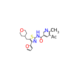 CC(=O)c1cc(C(=O)Nc2nc(-c3ccco3)c(CC3CCOCC3)s2)cnc1C